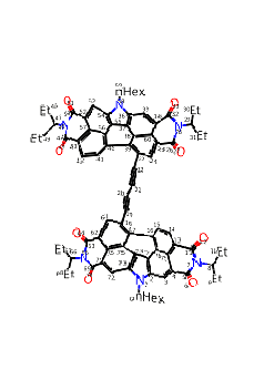 CCCCCCn1c2cc3c(=O)n(C(CC)CC)c(=O)c4ccc5c6c(C#CC#Cc7cc8c(=O)n(C(CC)CC)c(=O)c9cc%10c%11c(c7c7ccc%12c(=O)n(C(CC)CC)c(=O)c%13cc(c%11c7c%12%13)n%10CCCCCC)c89)cc7c(=O)n(C(CC)CC)c(=O)c8cc1c(c6c78)c2c5c43